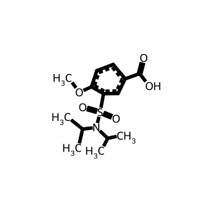 COc1ccc(C(=O)O)cc1S(=O)(=O)N(C(C)C)C(C)C